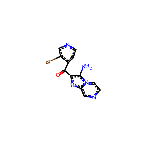 Nc1c(C(=O)c2ccncc2Br)nc2cnccn12